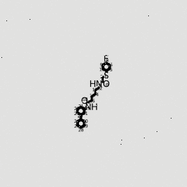 O=C(CSc1ccc(F)cc1)NCCCCCC(=O)Nc1cccc(-c2ccccc2)c1